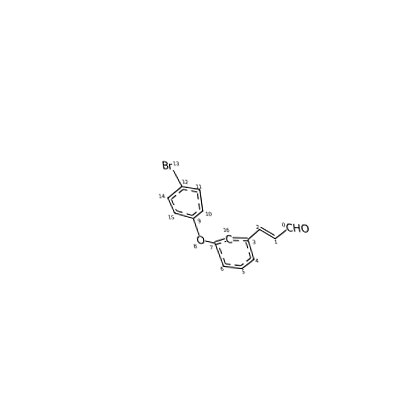 O=CC=Cc1cccc(Oc2ccc(Br)cc2)c1